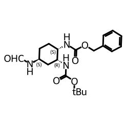 CC(C)(C)OC(=O)N[C@@H]1C[C@@H](NC=O)CC[C@@H]1NC(=O)OCc1ccccc1